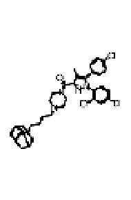 Cc1c(C(=O)N2CCN(CCCCC34CC5CC(CC(C5)C3)C4)CC2)nn(-c2ccc(Cl)cc2Cl)c1-c1ccc(Cl)cc1